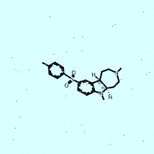 Cc1ccc(S(=O)(=O)c2ccc3c(c2)[C@@H]2CCN(C)CC[C@H]2N3C)cc1